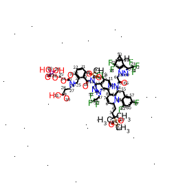 CC(C)(CCc1ccc(-c2ccc(Cl)c3c(N(C(=O)c4ccccc4CN(CCC(=O)O)C(=O)OCOP(=O)(O)O)S(C)(=O)=O)nn(CC(F)(F)F)c23)c([C@H](Cc2cc(F)cc(F)c2)NC(=O)Cn2nc(C(F)(F)F)c3c2C(F)(F)C2C[C@H]32)n1)S(C)(=O)=O